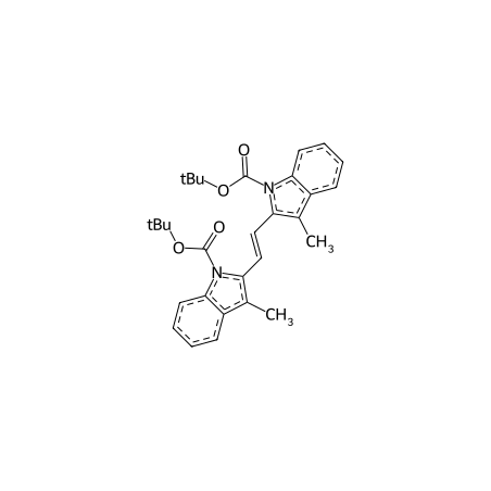 Cc1c(C=Cc2c(C)c3ccccc3n2C(=O)OC(C)(C)C)n(C(=O)OC(C)(C)C)c2ccccc12